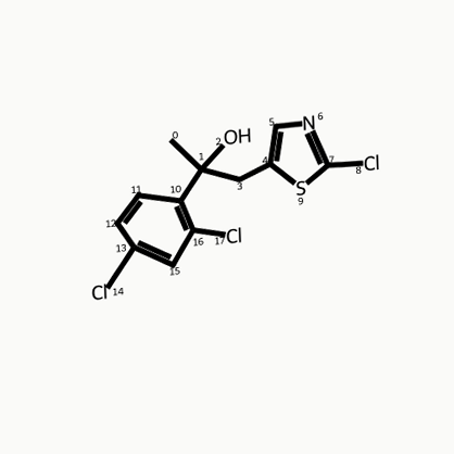 CC(O)(Cc1cnc(Cl)s1)c1ccc(Cl)cc1Cl